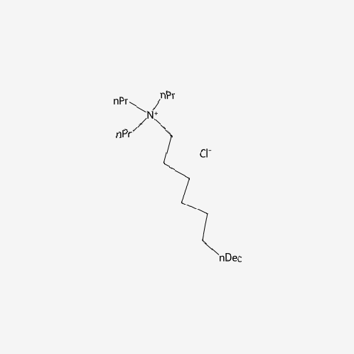 CCCCCCCCCCCCCCCC[N+](CCC)(CCC)CCC.[Cl-]